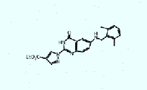 CCOC(=O)c1cnn(-c2nc3ccc(NCc4c(C)cccc4C)cc3c(=O)[nH]2)c1